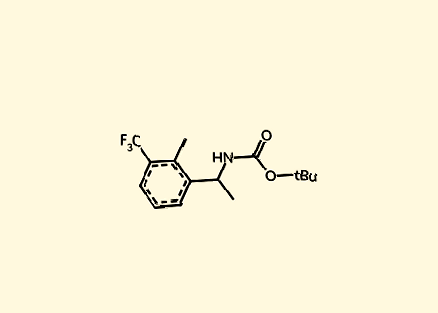 Cc1c(C(C)NC(=O)OC(C)(C)C)cccc1C(F)(F)F